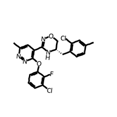 Cc1ccc(C[C@H]2CON=C(c3cc(C)nnc3Oc3cccc(Cl)c3F)N2)c(Cl)c1